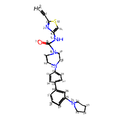 C#Cc1nc(NC(=O)N2CCN(c3ccc(-c4cccc(N5CCCC5)c4)cc3)CC2)cs1